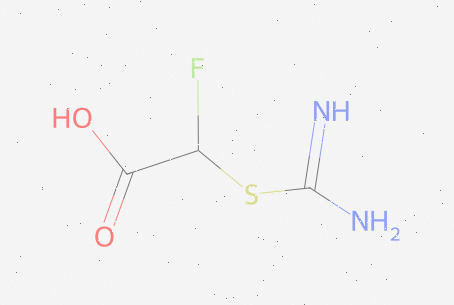 N=C(N)SC(F)C(=O)O